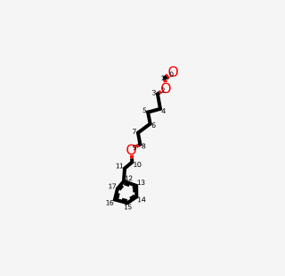 O=COCCCCCCOCCc1ccccc1